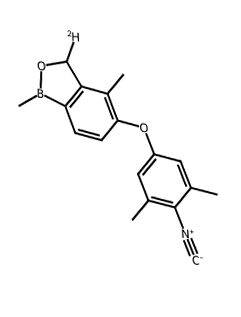 [2H]C1OB(C)c2ccc(Oc3cc(C)c([N+]#[C-])c(C)c3)c(C)c21